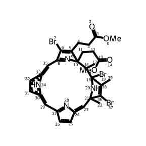 COC(=O)CCC1=C(Br)C2=NC1(CCC(=O)OC)C(C)C1(Br)NC(C)(C=C3C=CC(=N3)C=c3ccc([nH]3)=C2)C(Br)=C1C